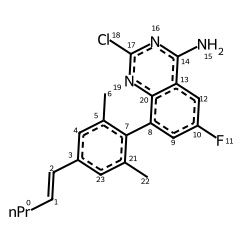 CCC/C=C/c1cc(C)c(-c2cc(F)cc3c(N)nc(Cl)nc23)c(C)c1